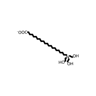 O=C([O-])CCCCCCCCCCCCCCCCCCCCC[N+](CCO)(CCO)CCO